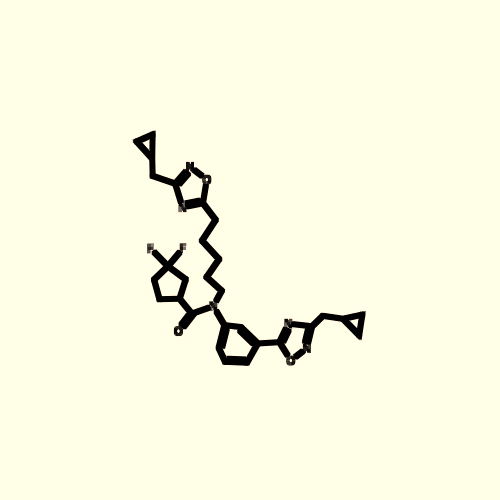 O=C(C1CCC(F)(F)C1)N(CCCCCc1nc(CC2CC2)no1)c1cccc(-c2nc(CC3CC3)no2)c1